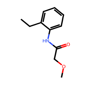 CCc1ccccc1NC(=O)COC